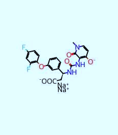 Cn1ccc([O-])c(NC(=O)N[C@@H](CC(=O)[O-])c2cccc(Oc3ccc(F)cc3F)c2)c1=O.[Na+].[Na+]